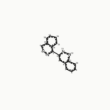 [c]1nnc(-c2cc3ccccc3nn2)c2ccccc12